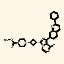 CC(C)(C)OC(=O)N1CCN([C@H]2C[C@@H](c3nc(-c4ccc5ccc(-c6ccccc6)nc5c4)c4c(Cl)nccn43)C2)CC1